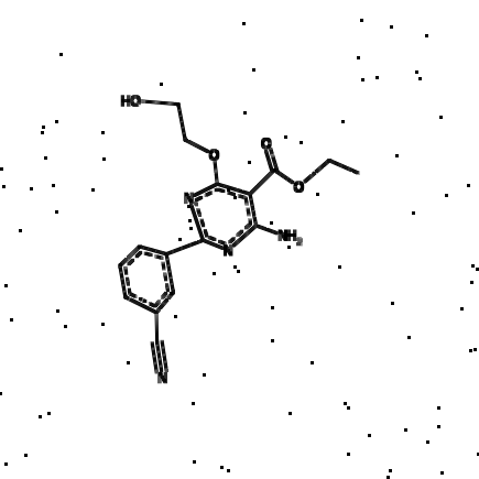 CCOC(=O)c1c(N)nc(-c2cccc(C#N)c2)nc1OCCO